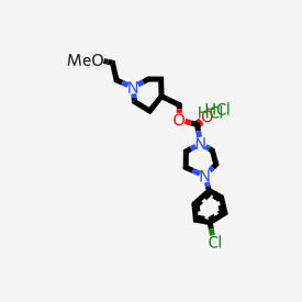 COCCN1CCC(COC(=O)N2CCN(c3ccc(Cl)cc3)CC2)CC1.Cl.Cl